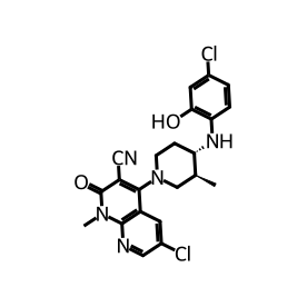 C[C@H]1CN(c2c(C#N)c(=O)n(C)c3ncc(Cl)cc23)CC[C@@H]1Nc1ccc(Cl)cc1O